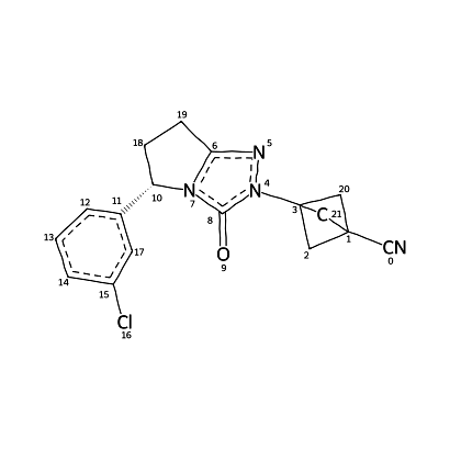 N#CC12CC(n3nc4n(c3=O)[C@H](c3cccc(Cl)c3)CC4)(C1)C2